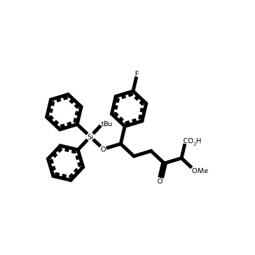 COC(C(=O)O)C(=O)CCC(O[Si](c1ccccc1)(c1ccccc1)C(C)(C)C)c1ccc(F)cc1